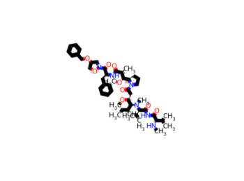 CC[C@H](C)[C@@H]([C@@H](CC(=O)N1CCC[C@H]1[C@H](OC)[C@@H](C)C(=O)N[C@@H](Cc1ccccc1)C(=O)N1CC(OCc2ccccc2)CO1)OC)N(C)[C@H](C(=O)NC(=O)[C@@H](NC)C(C)C)C(C)C